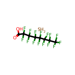 O=C(O)C(F)(F)C(F)(F)C(F)(F)C(F)(F)C(F)(F)C(F)(F)C(F)(F)F.S